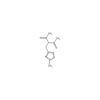 CC(=O)C(Cc1nc(C)cs1)C(C)=O